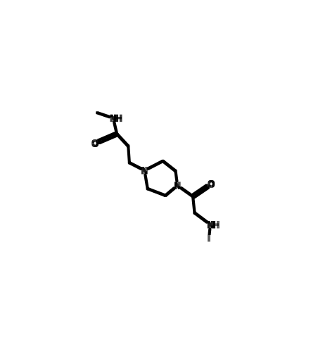 CNC(=O)CCN1CCN(C(=O)CNI)CC1